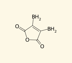 BC1=C(B)C(=O)OC1=O